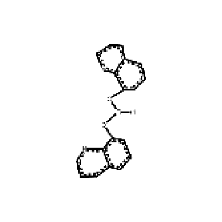 [Cl][Ti]([O]c1cccc2cccnc12)[O]c1cccc2cccnc12